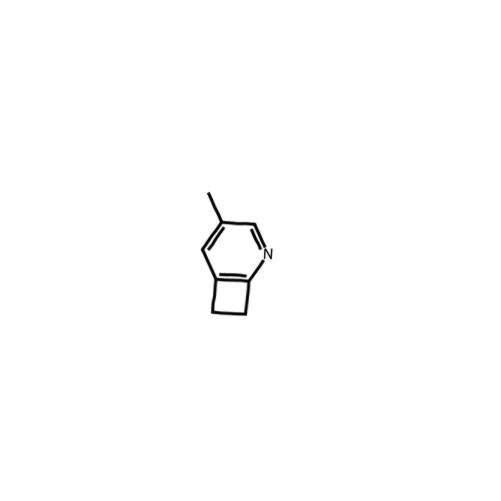 Cc1cnc2c(c1)CC2